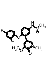 COc1cc(-c2cc(N[S+](C)[O-])ccc2Oc2ccc(F)cc2F)cn(C)c1=O